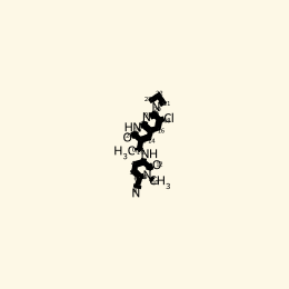 C[C@H](Nc1ccc(C#N)n(C)c1=O)c1cc2cc(Cl)c(N3CCC3)nc2[nH]c1=O